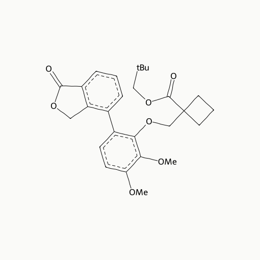 COc1ccc(-c2cccc3c2COC3=O)c(OCC2(C(=O)OCC(C)(C)C)CCC2)c1OC